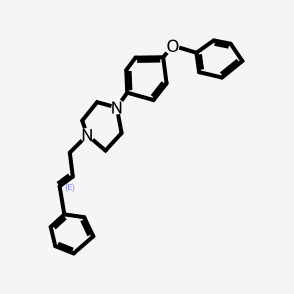 C(=C\c1ccccc1)/CN1CCN(c2ccc(Oc3ccccc3)cc2)CC1